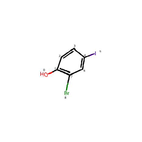 Oc1ccc(I)cc1Br